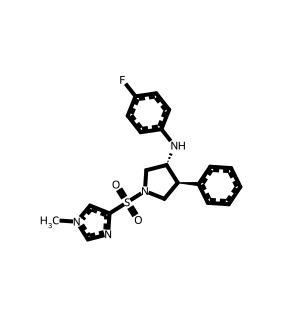 Cn1cnc(S(=O)(=O)N2C[C@H](Nc3ccc(F)cc3)[C@@H](c3ccccc3)C2)c1